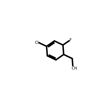 N#CCC1C=CC(Cl)=CC1F